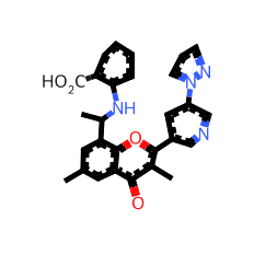 Cc1cc(C(C)Nc2ccccc2C(=O)O)c2oc(-c3cncc(-n4cccn4)c3)c(C)c(=O)c2c1